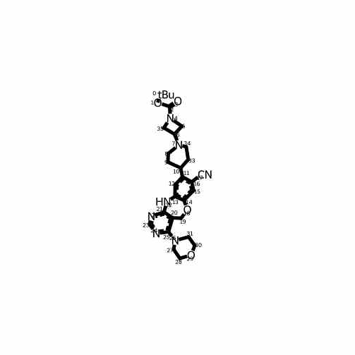 CC(C)(C)OC(=O)N1CC(N2CCC(c3cc4c(cc3C#N)OCc3c(ncnc3N3CCOCC3)N4)CC2)C1